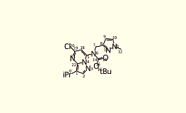 CC(C)c1cnn2c(N(Cc3ccn(C)n3)C(=O)OC(C)(C)C)cc(Cl)nc12